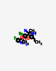 CCCC1CC(=O)C2=C(C1)NC(C)=C(C#N)C2c1cc(Br)c(OCc2cc(F)ccc2N)c(OCC)c1